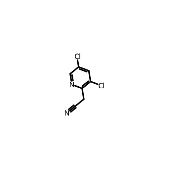 N#CCc1ncc(Cl)cc1Cl